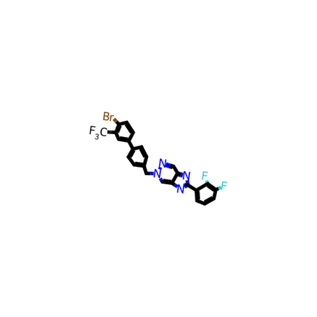 Fc1cccc(-c2nc3cnn(Cc4ccc(-c5ccc(Br)c(C(F)(F)F)c5)cc4)cc-3n2)c1F